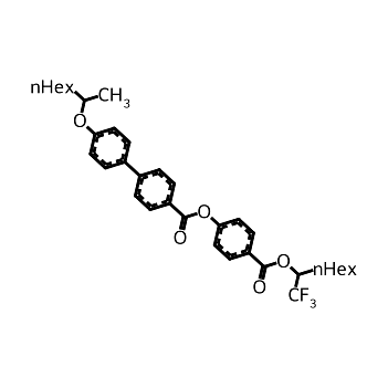 CCCCCCC(C)Oc1ccc(-c2ccc(C(=O)Oc3ccc(C(=O)OC(CCCCCC)C(F)(F)F)cc3)cc2)cc1